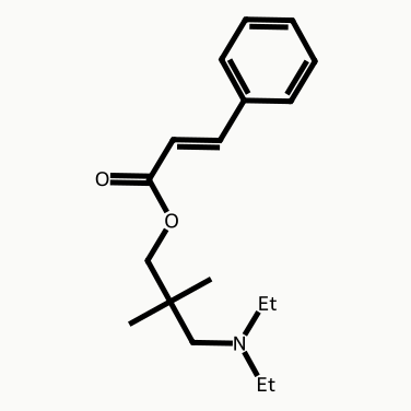 CCN(CC)CC(C)(C)COC(=O)C=Cc1ccccc1